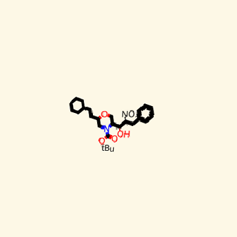 CC(C)(C)OC(=O)N1CC(CCC2CCCCC2)OCC1[C@@H](O)[C@@H](Cc1ccccc1)[N+](=O)[O-]